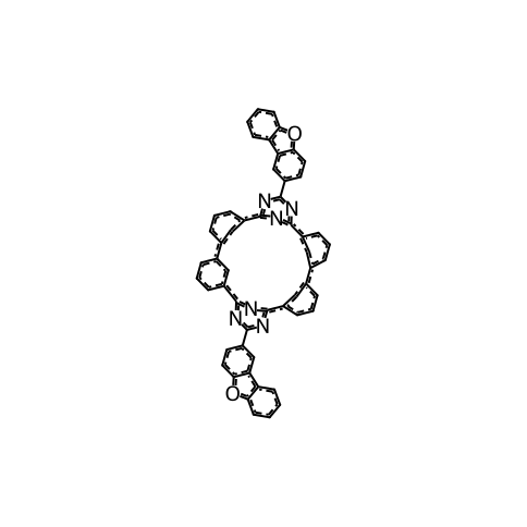 c1cc2cc(c1)c1nc(-c3ccc4oc5ccccc5c4c3)nc(n1)c1cccc(c1)c1cccc(c1)c1nc(-c3ccc4oc5ccccc5c4c3)nc(n1)c1cccc2c1